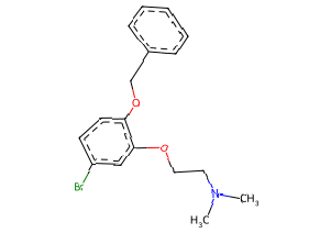 CN(C)CCOc1cc(Br)ccc1OCc1ccccc1